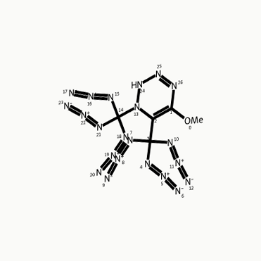 COC1=C(C(N=[N+]=[N-])(N=[N+]=[N-])N=[N+]=[N-])N(C(N=[N+]=[N-])(N=[N+]=[N-])N=[N+]=[N-])NN=N1